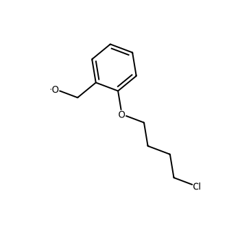 [O]Cc1ccccc1OCCCCCl